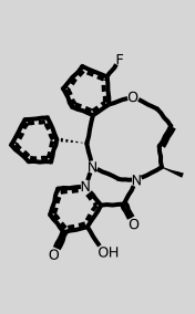 C[C@@H]1/C=C/COc2c(F)cccc2[C@@H](c2ccccc2)N2CN1C(=O)c1c(O)c(=O)ccn12